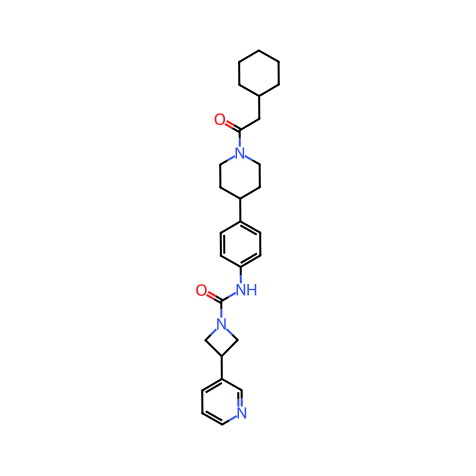 O=C(CC1CCCCC1)N1CCC(c2ccc(NC(=O)N3CC(c4cccnc4)C3)cc2)CC1